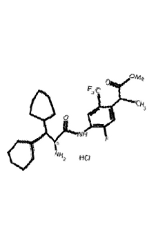 COC(=O)C(C)c1cc(F)c(NC(=O)[C@@H](N)C(C2CCCCC2)C2CCCCC2)cc1C(F)(F)F.Cl